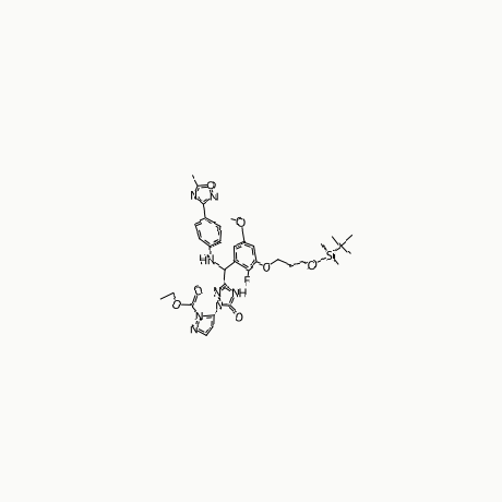 CCOC(=O)n1nccc1-n1nc(C(Nc2ccc(-c3noc(C)n3)cc2)c2cc(OC)cc(OCCCO[Si](C)(C)C(C)(C)C)c2F)[nH]c1=O